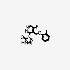 Cc1ccccc1OCc1c(F)cnnc1-n1nn[nH]c1=O